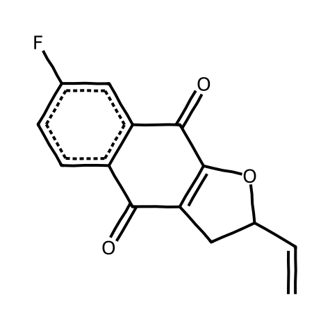 C=CC1CC2=C(O1)C(=O)c1cc(F)ccc1C2=O